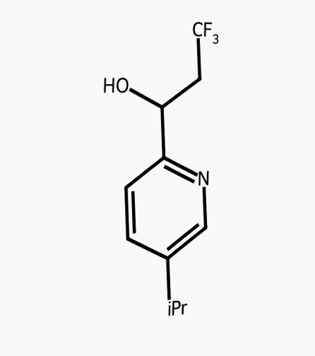 CC(C)c1ccc(C(O)CC(F)(F)F)nc1